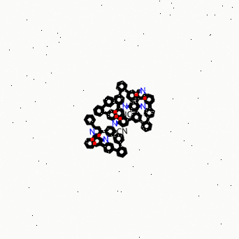 N#Cc1cc(-n2c3ccccc3c3ccc(-c4ccccc4-c4cccc(-c5ccc6c(c5)c5ccc(-c7ccccc7-c7ccccc7)cc5n6-c5cc(-c6cc(-c7ccccc7)nc(-c7ccccc7)c6)c(-n6c7ccccc7c7ccc(-c8ccccc8-c8ccccc8)cc76)cc5C#N)c4)cc32)c(-c2ccncc2)cc1-n1c2ccccc2c2ccc(-c3ccccc3-c3ccccc3)cc21